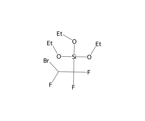 CCO[Si](OCC)(OCC)C(F)(F)C(F)Br